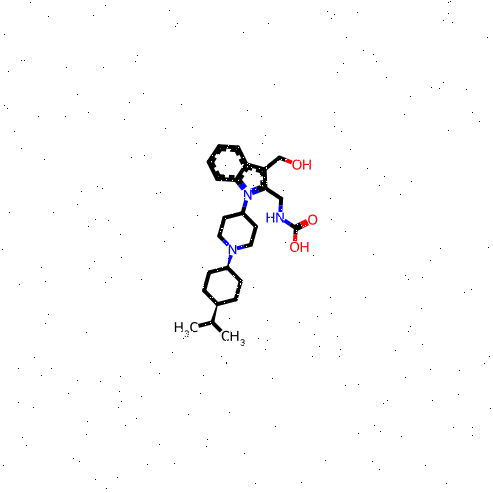 CC(C)[C@H]1CC[C@@H](N2CCC(n3c(CNC(=O)O)c(CO)c4ccccc43)CC2)CC1